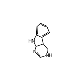 C1=NC2Nc3ccccc3C2CN1